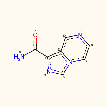 NC(=O)c1ncn2ccncc12